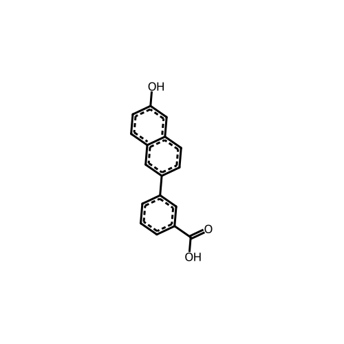 O=C(O)c1cccc(-c2ccc3cc(O)ccc3c2)c1